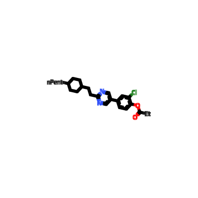 CCCCCC1CCC(CCc2ncc(-c3ccc(OC(=O)CC)c(Cl)c3)cn2)CC1